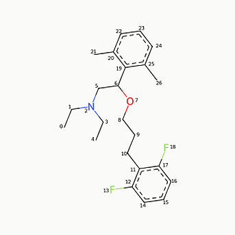 CCN(CC)CC(OCCCc1c(F)cccc1F)c1c(C)cccc1C